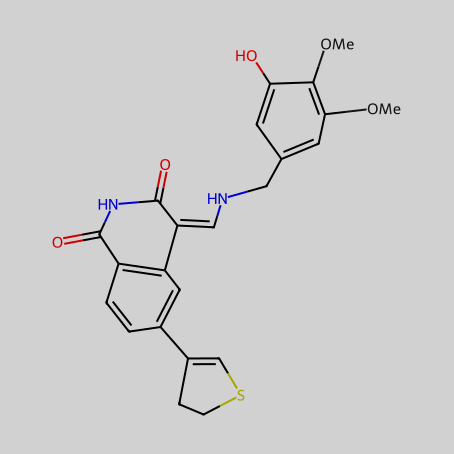 COc1cc(CN/C=C2\C(=O)NC(=O)c3ccc(C4=CSCC4)cc32)cc(O)c1OC